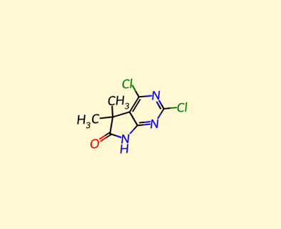 CC1(C)C(=O)Nc2nc(Cl)nc(Cl)c21